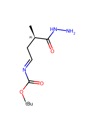 C[C@H](CC=NC(=O)OC(C)(C)C)C(=O)NN